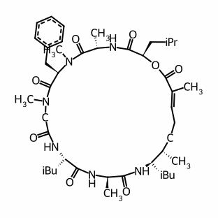 CC[C@@H](C)[C@@H]1NC(=O)CN(C)C(=O)[C@@H](Cc2ccccc2)N(C)C(=O)[C@H](C)NC(=O)[C@@H](CC(C)C)OC(=O)/C(C)=C/CC[C@H](C)[C@@H]([C@@H](C)CC)NC(=O)[C@@H](C)NC1=O